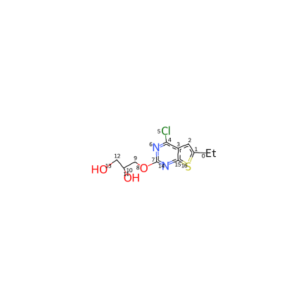 CCc1cc2c(Cl)nc(OCC(O)CO)nc2s1